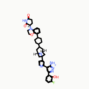 Nc1nnc(-c2cccc(F)c2O)cc1-c1cc(C23C[C@H]4CC(C5CCC(c6cccc7c6OCCN7[C@@H]6CCC(=O)NC6=O)CC5)C[C@@H](C2)N43)ccn1